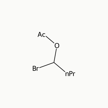 CCCC(Br)OC(C)=O